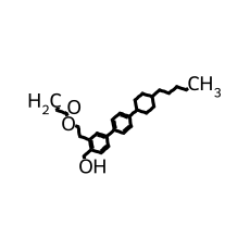 C=CC(=O)OCCc1cc(-c2ccc(C3CCC(CCCCC)CC3)cc2)ccc1CO